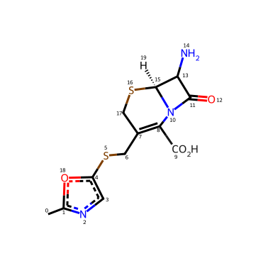 Cc1ncc(SCC2=C(C(=O)O)N3C(=O)C(N)[C@@H]3SC2)o1